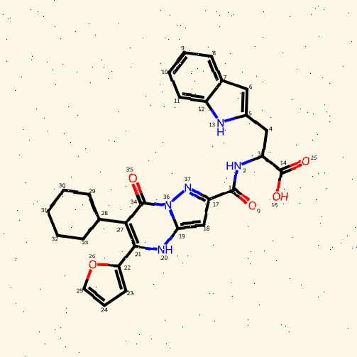 O=C(NC(Cc1cc2ccccc2[nH]1)C(=O)O)c1cc2[nH]c(-c3ccco3)c(C3CCCCC3)c(=O)n2n1